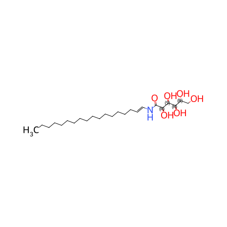 CCCCCCCCCCCCCCCCC=CNC(=O)[C@H](O)[C@@H](O)[C@H](O)[C@H](O)CO